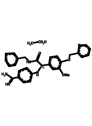 CC(=O)O.COc1cc([C@@H](Nc2ccc(C(=N)N)cc2)C(=O)NCc2ccccc2)ccc1OCc1ccccn1